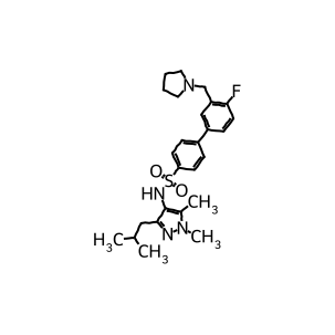 Cc1c(NS(=O)(=O)c2ccc(-c3ccc(F)c(CN4CCCC4)c3)cc2)c(CC(C)C)nn1C